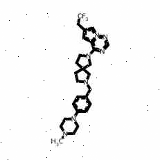 CN1CCN(c2ccc(CN3CCC4(CCN(c5ncnn6cc(CC(F)(F)F)cc56)C4)C3)cc2)CC1